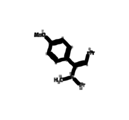 CCC/C=C(\c1ccc(OC)cc1)N(C)C(C)C